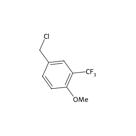 COc1ccc(CCl)cc1C(F)(F)F